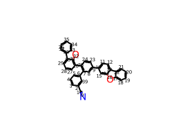 N#Cc1cccc(-c2cc(-c3ccc4c(c3)oc3ccccc34)ccc2-c2cccc3c2oc2ccccc23)c1